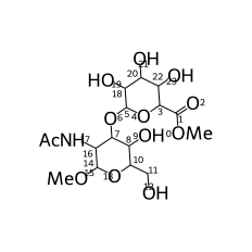 COC(=O)C1OC(OC2C(O)C(CO)OC(OC)C2NC(C)=O)C(O)C(O)C1O